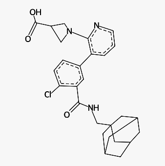 O=C(NCC12CC3CC(CC(C3)C1)C2)c1cc(-c2cccnc2N2CC(C(=O)O)C2)ccc1Cl